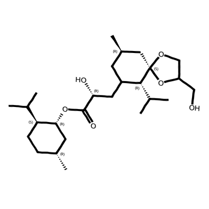 CC(C)[C@@H]1C(C[C@@H](O)C(=O)O[C@@H]2C[C@H](C)CC[C@H]2C(C)C)C[C@@H](C)C[C@@]12OCC(CO)O2